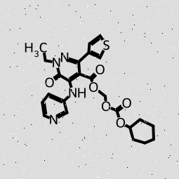 CCn1nc(-c2ccsc2)c(C(=O)OCOC(=O)OC2CCCCC2)c(Nc2cccnc2)c1=O